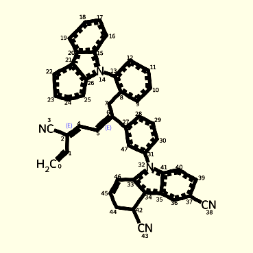 C=C/C(C#N)=C\C=C(/Cc1ccccc1-n1c2ccccc2c2ccccc21)c1cccc(-n2c3c(c4cc(C#N)ccc42)C(C#N)CC=C3)c1